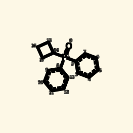 O=P(c1ccccc1)(c1ccccc1)C1CCC1